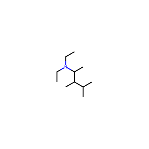 CCN(CC)C(C)C(C)C(C)C